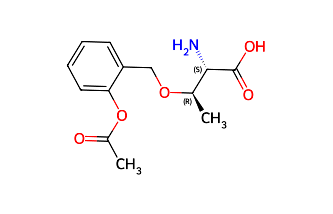 CC(=O)Oc1ccccc1CO[C@H](C)[C@H](N)C(=O)O